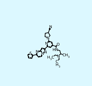 CCN(CC)C(C)CNC(=O)c1cc(-c2cc3nc(-c4cccs4)ccn3n2)nc(N2CCC(C#N)C2)c1